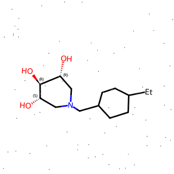 CCC1CCC(CN2C[C@@H](O)[C@H](O)[C@@H](O)C2)CC1